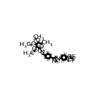 CCO[C@@H]1[C@@H](OCC)[C@H](C)O[C@@H](O/N=C/c2ccc(-c3cn(-c4ccc(OC(F)(F)F)cc4)cn3)cc2)[C@@H]1OCC